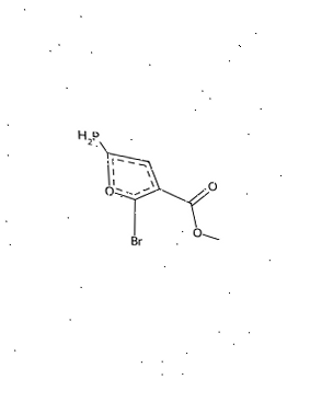 COC(=O)c1cc(P)oc1Br